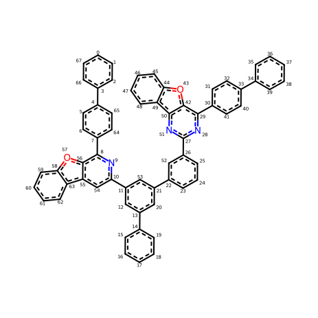 c1ccc(-c2ccc(-c3nc(-c4cc(-c5ccccc5)cc(-c5cccc(-c6nc(-c7ccc(-c8ccccc8)cc7)c7oc8ccccc8c7n6)c5)c4)cc4c3oc3ccccc34)cc2)cc1